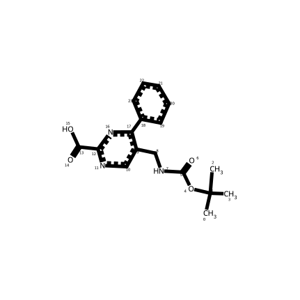 CC(C)(C)OC(=O)NCc1cnc(C(=O)O)nc1-c1ccccc1